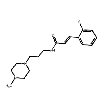 CN1CCN(CCCNC(=O)C=Cc2ccccc2F)CC1